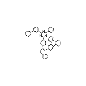 C1=CC(c2ccc3ccccc3c2-c2ccc3c4ccccc4c4ccccc4c3c2)CC=C1c1nc(-c2ccccc2)nc(-c2cccc(-c3ccccc3)c2)n1